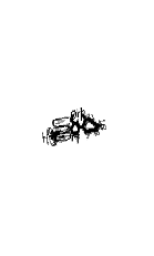 O=C(O)c1cc(-c2ccc(F)cc2F)ccc1OP(=O)(O)O